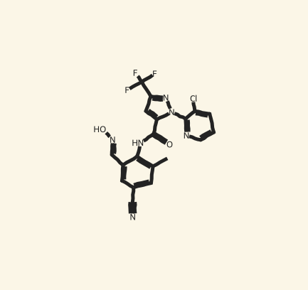 Cc1cc(C#N)cc(C=NO)c1NC(=O)c1cc(C(F)(F)F)nn1-c1ncccc1Cl